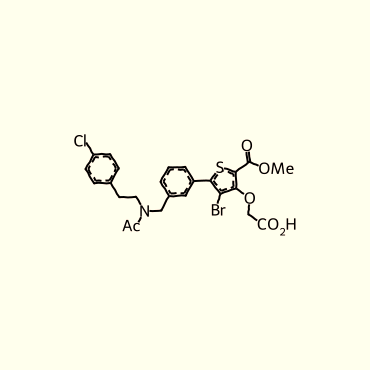 COC(=O)c1sc(-c2cccc(CN(CCc3ccc(Cl)cc3)C(C)=O)c2)c(Br)c1OCC(=O)O